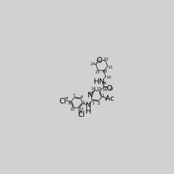 CC(=O)c1cc(Nc2ccc(Cl)cc2Cl)ncc1C(=O)NCC1CCOCC1